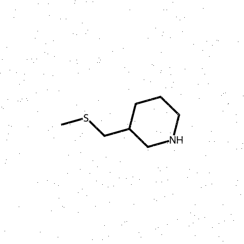 CSCC1CCCNC1